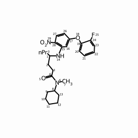 CCCC(CCC(=O)N(C)C1CCCCC1)Nc1cc(Oc2ccccc2F)ccc1[N+](=O)[O-]